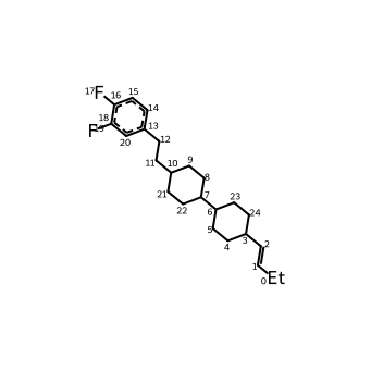 CCC=CC1CCC(C2CCC(CCc3ccc(F)c(F)c3)CC2)CC1